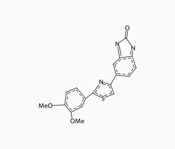 COc1ccc(-c2nc(-c3ccc4c(c3)=NC(=O)N=4)cs2)cc1OC